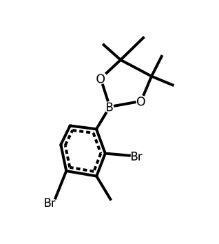 Cc1c(Br)ccc(B2OC(C)(C)C(C)(C)O2)c1Br